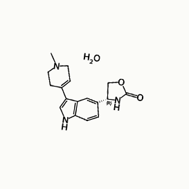 CN1CC=C(c2c[nH]c3ccc([C@@H]4COC(=O)N4)cc23)CC1.O